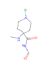 CNC1(C(=O)NC=O)CCN(Br)CC1